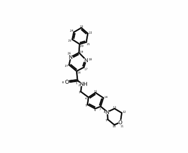 O=C(NCc1ccc(N2CCOCC2)cc1)c1cnc(-c2ccccc2)nc1